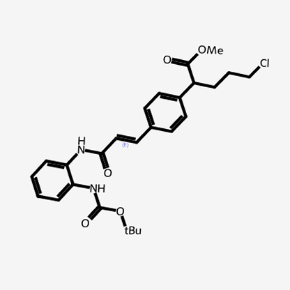 COC(=O)C(CCCCl)c1ccc(/C=C/C(=O)Nc2ccccc2NC(=O)OC(C)(C)C)cc1